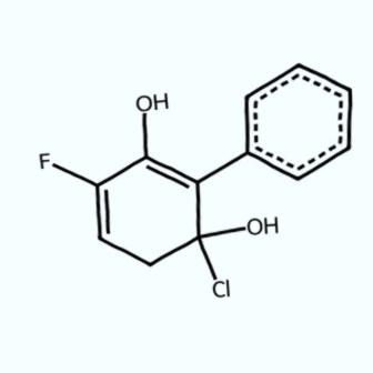 OC1=C(c2ccccc2)C(O)(Cl)CC=C1F